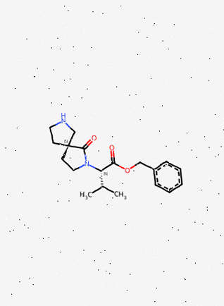 CC(C)[C@@H](C(=O)OCc1ccccc1)N1CC[C@]2(CCNC2)C1=O